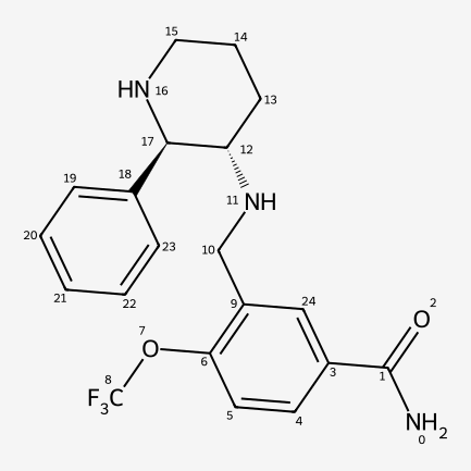 NC(=O)c1ccc(OC(F)(F)F)c(CN[C@H]2CCCN[C@@H]2c2ccccc2)c1